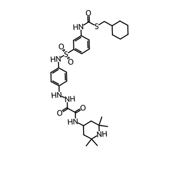 CC1(C)CC(NC(=O)C(=O)NNc2ccc(NS(=O)(=O)c3cccc(NC(=O)SCC4CCCCC4)c3)cc2)CC(C)(C)N1